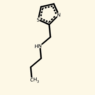 CCCNCc1nccs1